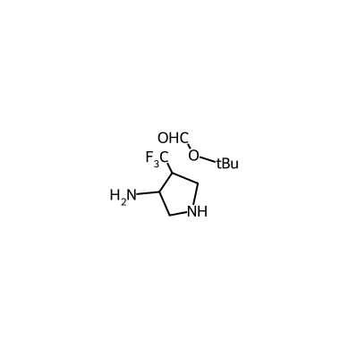 CC(C)(C)OC=O.NC1CNCC1C(F)(F)F